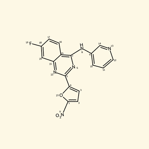 O=[N+]([O-])c1ccc(-c2nc(Nc3cccnc3)c3ccc(F)cc3n2)o1